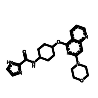 O=C(NC1CCC(Oc2nc(N3CCOCC3)cc3ncccc23)CC1)c1ncc[nH]1